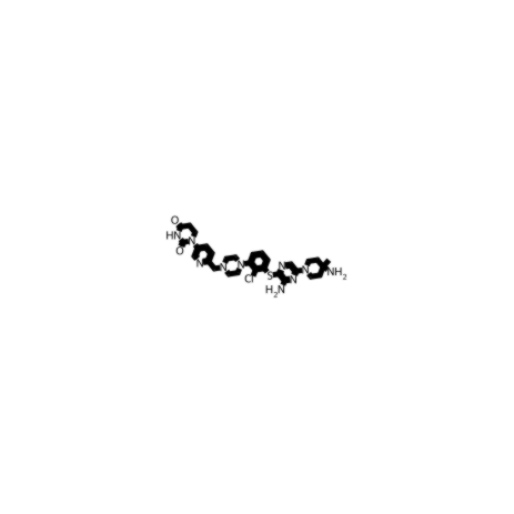 CC1(N)CCN(c2cnc(Sc3cccc(N4CCN(Cc5ccc(N6CCC(=O)NC6=O)cn5)CC4)c3Cl)c(N)n2)CC1